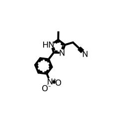 Cc1[nH]c(-c2cccc([N+](=O)[O-])c2)nc1CC#N